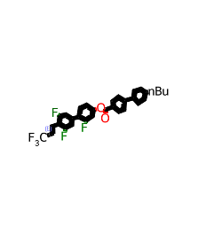 CCCCc1ccc(-c2ccc(C(=O)Oc3ccc(-c4cc(F)c(/C=C/C(F)(F)F)c(F)c4)c(F)c3)cc2)cc1